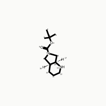 CC(C)(C)OC(=O)N1C[C@@H]2CCCN[C@@H]2C1